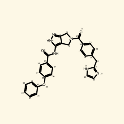 O=C(Nc1[nH]nc2c1CN(C(=O)c1ccc(Cc3ncc[nH]3)cc1)C2)c1ccc(Oc2ccccc2)cc1